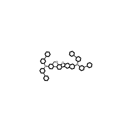 c1ccc(-c2cccc(N(c3cccc(-c4ccccc4)c3)c3ccc4c(c3)COc3c-4ccc4c3oc3cc5cc(N(c6cccc(-c7ccccc7)c6)c6cccc(-c7ccccc7)c6)ccc5cc34)c2)cc1